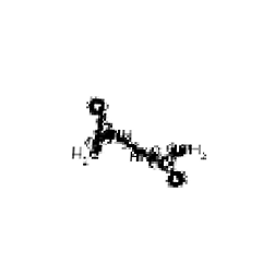 C=CC(=O)OCC(COc1ccccc1)OC(=O)NCCCCCCNC(=O)OC(COC(=O)C=C)COc1ccccc1